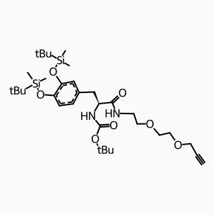 C#CCOCCOCCNC(=O)[C@H](Cc1ccc(O[Si](C)(C)C(C)(C)C)c(O[Si](C)(C)C(C)(C)C)c1)NC(=O)OC(C)(C)C